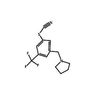 N#CSc1cc(CN2CCCC2)cc(C(F)(F)F)c1